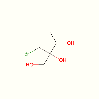 CC(O)C(O)(CO)CBr